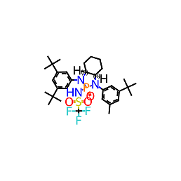 Cc1cc(N2[C@@H]3CCCC[C@H]3N(c3cc(C(C)(C)C)cc(C(C)(C)C)c3)P2(=O)NS(=O)(=O)C(F)(F)F)cc(C(C)(C)C)c1